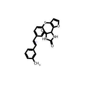 Cc1cccc(/C=C/c2ccc(Sc3ccoc3C3NC(=O)NC3=O)cc2)c1